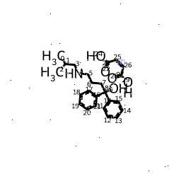 CC(C)CNCCCC(O)(c1ccccc1)c1ccccc1.O=C(O)/C=C\C(=O)O